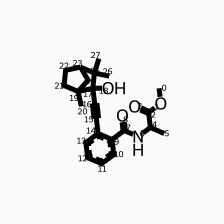 COC(=O)C(C)NC(=O)c1ccccc1C#CC1(O)C2(C)CCC(C2)C1(C)C